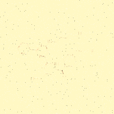 CCOC(=O)ON1CCN(C(=O)[C@H](CCC(=O)O)NC(=O)c2cc(NCCCC(=O)O)nc(-c3ccccc3)n2)CC1